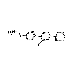 Cc1ccc(-c2ccc(-c3ccc(CCN)cc3)c(F)c2)cc1